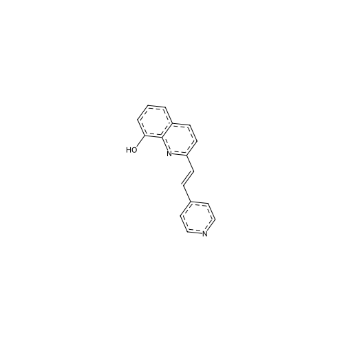 Oc1cccc2ccc(C=Cc3ccncc3)nc12